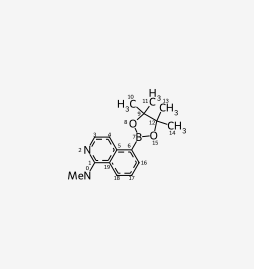 CNc1nccc2c(B3OC(C)(C)C(C)(C)O3)cccc12